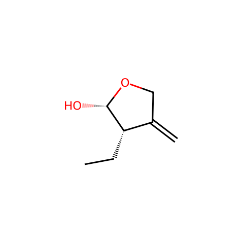 C=C1CO[C@@H](O)[C@H]1CC